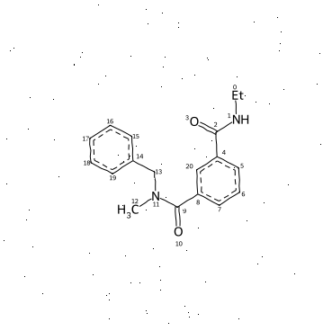 CCNC(=O)c1cccc(C(=O)N(C)Cc2ccccc2)c1